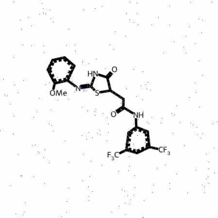 COc1ccccc1/N=C1\NC(=O)C(CC(=O)Nc2cc(C(F)(F)F)cc(C(F)(F)F)c2)S1